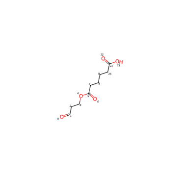 O=CCCOC(=O)CCCCC(=O)O